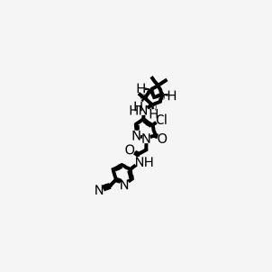 C[C@@H]1[C@H]2C[C@@H](C[C@H]1Nc1cnn(CC(=O)Nc3ccc(C#N)nc3)c(=O)c1Cl)C2(C)C